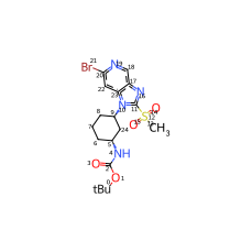 CC(C)(C)OC(=O)N[C@H]1CCC[C@@H](n2c(S(C)(=O)=O)nc3cnc(Br)cc32)C1